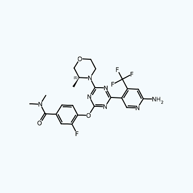 C[C@H]1COCCN1c1nc(Oc2ccc(C(=O)N(C)C)cc2F)nc(-c2cnc(N)cc2C(F)(F)F)n1